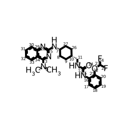 CN(C)c1nc(N[C@H]2CC[C@@H](CNC(=O)Nc3ccccc3OC(F)F)CC2)nc2ccccc12